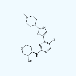 CN1CCC(c2ncc(-c3nc(N[C@@H]4CCOC[C@H]4O)ncc3Cl)o2)CC1